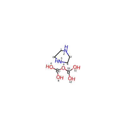 C1CNCCN1.OB(O)OB(O)O